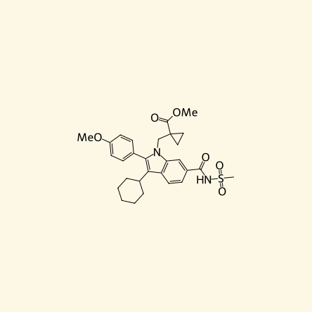 COC(=O)C1(Cn2c(-c3ccc(OC)cc3)c(C3CCCCC3)c3ccc(C(=O)NS(C)(=O)=O)cc32)CC1